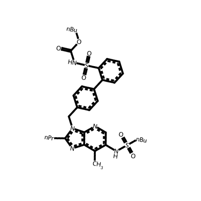 CCCCOC(=O)NS(=O)(=O)c1ccccc1-c1ccc(Cn2c(CCC)nc3c(C)c(NS(=O)(=O)CCCC)cnc32)cc1